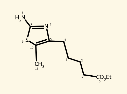 CCOC(=O)CCCCc1nc(N)sc1C